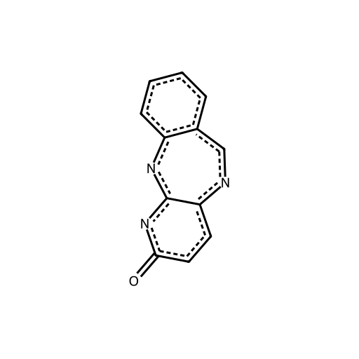 O=c1ccc2ncc3ccccc3nc-2n1